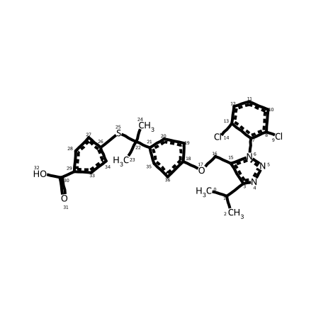 CC(C)c1nnn(-c2c(Cl)cccc2Cl)c1COc1ccc(C(C)(C)Sc2ccc(C(=O)O)cc2)cc1